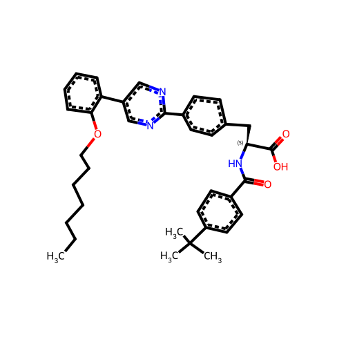 CCCCCCCOc1ccccc1-c1cnc(-c2ccc(C[C@H](NC(=O)c3ccc(C(C)(C)C)cc3)C(=O)O)cc2)nc1